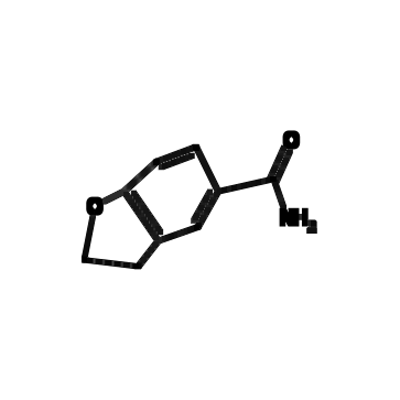 NC(=O)c1ccc2c(c1)CCO2